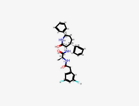 C[C@H](NC(=O)Cc1cc(F)cc(F)c1)C(=O)N[C@@H]1C(=O)N[C@H](c2ccccc2)CC[C@@H]1c1ccccc1